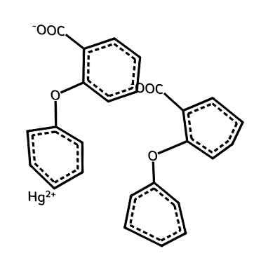 O=C([O-])c1ccccc1Oc1ccccc1.O=C([O-])c1ccccc1Oc1ccccc1.[Hg+2]